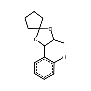 [CH2]C1OC2(CCCC2)OC1c1ccccc1Cl